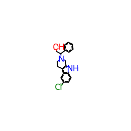 OCC(c1ccccc1)N1CCc2c([nH]c3ccc(Cl)cc23)C1